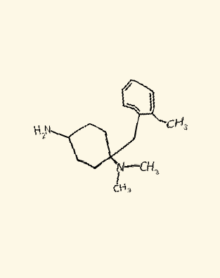 Cc1ccccc1CC1(N(C)C)CCC(N)CC1